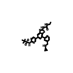 CCNC(=O)Nc1nc2cc(-c3cnc(NS(=O)(=O)C(C)(C)C)nc3)cc(-c3cc(CNC4CC4)ccn3)c2s1